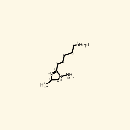 CCCCCCCCCCCCC1=NC(C)CN1N